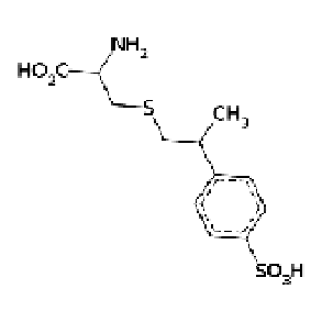 CC(CSCC(N)C(=O)O)c1ccc(S(=O)(=O)O)cc1